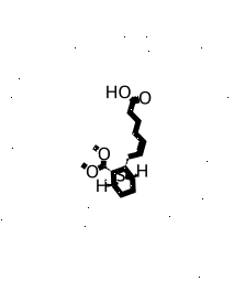 COC(OC)[C@@H]1[C@H](C/C=C\CCCC(=O)O)[C@@H]2CC[C@H]1S2